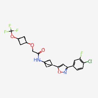 O=C(COC1CC(OC(F)(F)F)C1)NC12CC(c3cc(-c4ccc(Cl)c(F)c4)no3)(C1)C2